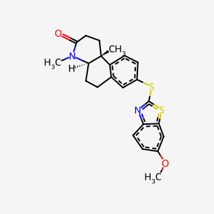 COc1ccc2nc(Sc3ccc4c(c3)CC[C@H]3N(C)C(=O)CC[C@]43C)sc2c1